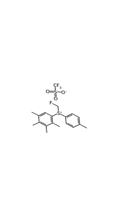 Cc1ccc([S+](CF)c2cc(C)c(C)c(C)c2C)cc1.O=S(=O)([O-])C(F)(F)F